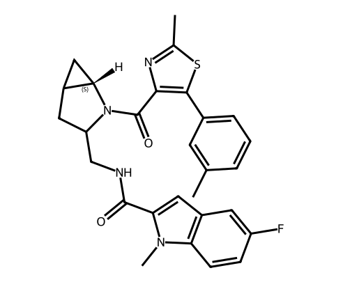 Cc1cccc(-c2sc(C)nc2C(=O)N2C(CNC(=O)c3cc4cc(F)ccc4n3C)CC3C[C@@H]32)c1